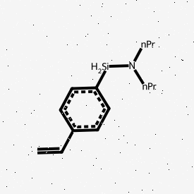 C=Cc1ccc([SiH2]N(CCC)CCC)cc1